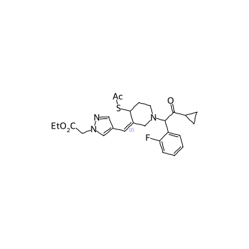 CCOC(=O)Cn1cc(/C=C2/CN(C(C(=O)C3CC3)c3ccccc3F)CCC2SC(C)=O)cn1